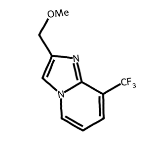 COCc1cn2cccc(C(F)(F)F)c2n1